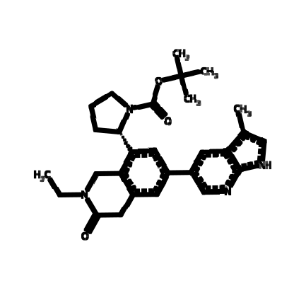 CCN1Cc2c(cc(-c3cnc4[nH]cc(C)c4c3)cc2[C@@H]2CCCN2C(=O)OC(C)(C)C)CC1=O